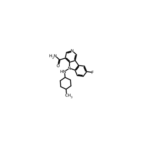 CC1CCC(Nn2c3ccc(F)cc3c3cncc(C(N)=O)c32)CC1